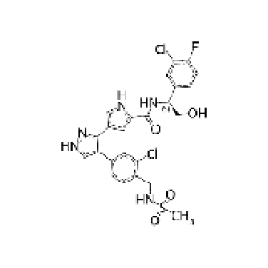 CS(=O)(=O)NCc1ccc(-c2c[nH]nc2-c2c[nH]c(C(=O)N[C@H](CO)c3ccc(F)c(Cl)c3)c2)cc1Cl